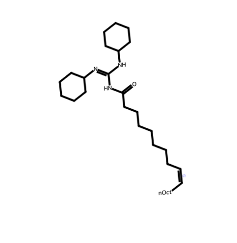 CCCCCCCC/C=C\CCCCCCCC(=O)NC(=NC1CCCCC1)NC1CCCCC1